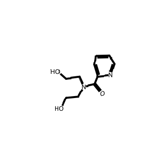 O=C(c1ccccn1)N(CCO)CCO